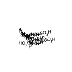 Cc1cc(Cc2nc(Cc3ccc(N=Nc4ccc(N=Nc5ccccc5)cc4S(=O)(=O)O)c(C)c3)nc(NC(CCCCNc3nc(Nc4ccc(N=Nc5ccc(N=Nc6ccc(S(=O)(=O)O)cc6)cc5)c(C)c4)nc(Nc4ccc(N=Nc5ccc(N=Nc6ccccc6)cc5S(=O)(=O)O)c(C)c4)n3)C(=O)O)n2)ccc1N=Nc1ccc(N=Nc2ccc(S(=O)(=O)O)cc2)cc1